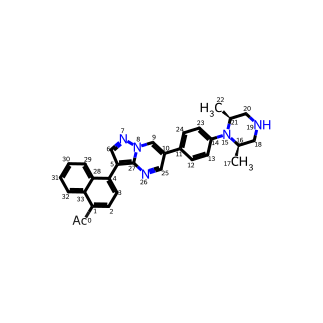 CC(=O)c1ccc(-c2cnn3cc(-c4ccc(N5[C@H](C)CNC[C@@H]5C)cc4)cnc23)c2ccccc12